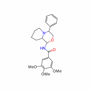 COc1cc(C(=O)NC2OCC(c3ccccc3)N3CCCCC23)cc(OC)c1OC